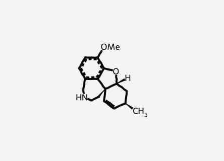 COc1ccc2c3c1O[C@@H]1C[C@@H](C)C=C[C@]31CCNC2